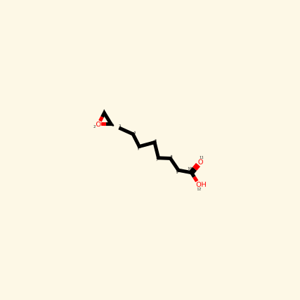 C1CO1.CCCCCCCC(=O)O